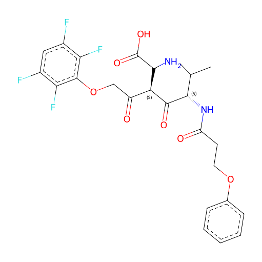 CC(C)[C@H](NC(=O)CCOc1ccccc1)C(=O)[C@@H](C(=O)COc1c(F)c(F)cc(F)c1F)C(N)C(=O)O